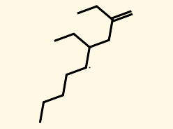 C=C(CC)CC([CH]CCCC)CC